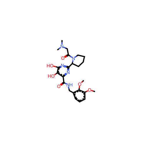 COc1cccc(CNC(=O)c2nc(C3CCCCN3C(=O)CN(C)C)nc(O)c2O)c1OC